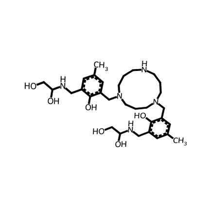 Cc1cc(CNC(O)CO)c(O)c(CN2CCCNCCCN(Cc3cc(C)cc(CNC(O)CO)c3O)CCC2)c1